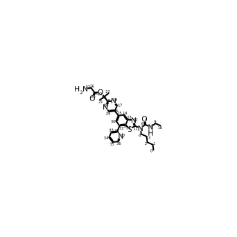 CCCCCN(C(=O)NCC)c1nc2cc(-c3cnc(C(C)(C)OC(=O)CN)nc3)cc(-c3ccccn3)c2s1